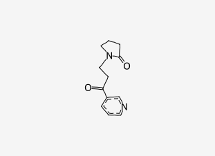 O=C(CCN1CCCC1=O)c1cccnc1